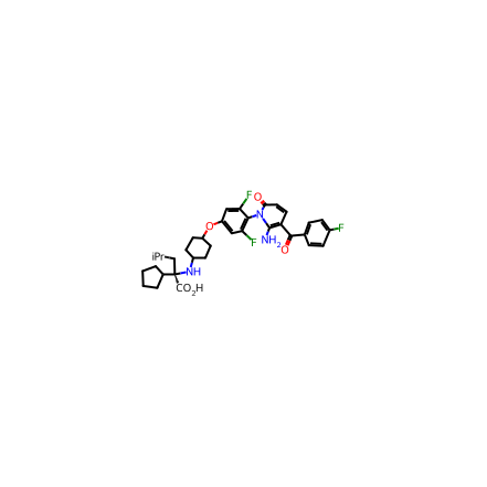 CC(C)C[C@@](NC1CCC(Oc2cc(F)c(-n3c(N)c(C(=O)c4ccc(F)cc4)ccc3=O)c(F)c2)CC1)(C(=O)O)C1CCCC1